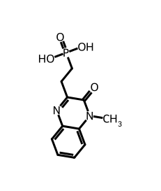 Cn1c(=O)c(CCP(=O)(O)O)nc2ccccc21